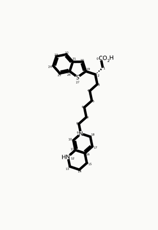 O=C(O)C[C@H](CCCCCCN1C=C2NCCCC2=CC1)c1cc2ccccc2s1